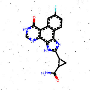 NC(=O)C1CC1c1nc2c3ccc(F)cc3c3c(=O)[nH]cnc3c2[nH]1